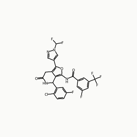 O=C1Cc2c(-c3cnn(C(F)F)c3)oc(NC(=O)c3cc(F)cc(C(F)(F)F)c3)c2C(c2cc(F)ccc2Cl)N1